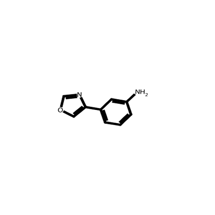 Nc1cccc(-c2cocn2)c1